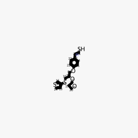 S/C=C/c1ccc(OCC(CSc2ccsc2)OC2CCO2)cc1